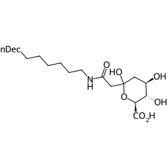 CCCCCCCCCCCCCCCCNC(=O)CC1(O)C[C@@H](O)[C@H](O)[C@@H](C(=O)O)O1